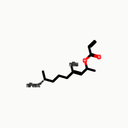 C=CC(=O)OC(C)/C=C(\CCCC)CCC[C@@H](C)CCCCC